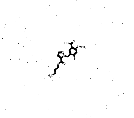 CCCCOC(=O)c1ccnn1Cc1cc(C(=O)O)c(OC)cc1F